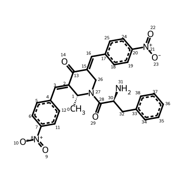 C[C@@H]1/C(=C\c2ccc([N+](=O)[O-])cc2)C(=O)/C(=C/c2ccc([N+](=O)[O-])cc2)CN1C(=O)[C@@H](N)Cc1ccccc1